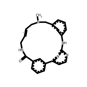 CN1C/C=C/CNC(=O)c2cccc(c2)-c2ccnc(n2)Nc2cccc(c2)C1